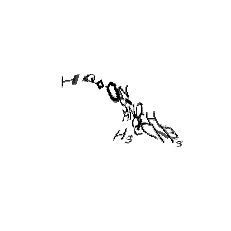 CC(C)(C)OC(=O)NCc1nc2ccc([C@H]3C[C@H](CO)C3)cc2s1